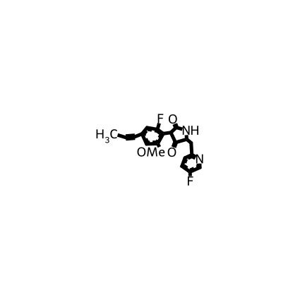 CC#Cc1cc(F)c(C2C(=O)NC(Cc3ccc(F)cn3)C2=O)c(OC)c1